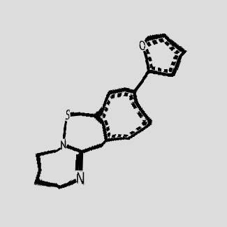 c1coc(-c2ccc3c(c2)SN2CCCN=C32)c1